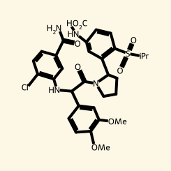 COc1ccc(C(Nc2cc(C(N)=O)ccc2Cl)C(=O)N2CCCC2c2cc(NC(=O)O)ccc2S(=O)(=O)C(C)C)cc1OC